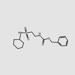 O=C(NCCS(=O)(=O)NC1CCCCC1)OCc1ccccc1